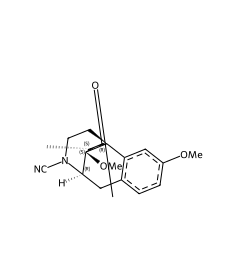 COc1ccc2c(c1)[C@]13CCN(C#N)[C@H](C2)[C@]1(OC)[C@@H](C)CC(=O)C3